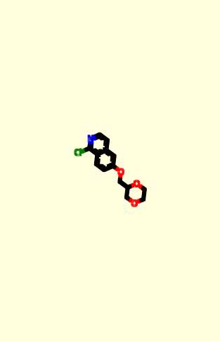 Clc1nccc2cc(OCC3COCCO3)ccc12